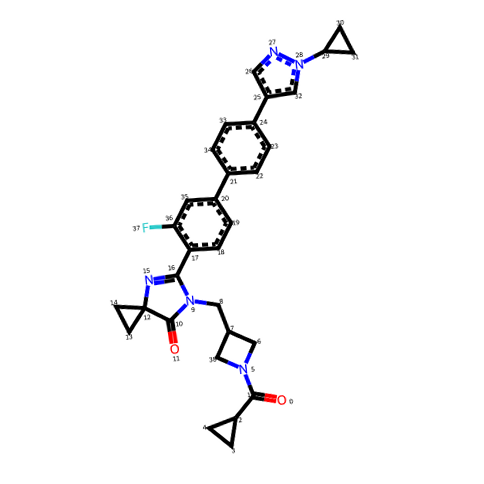 O=C(C1CC1)N1CC(CN2C(=O)C3(CC3)N=C2c2ccc(-c3ccc(-c4cnn(C5CC5)c4)cc3)cc2F)C1